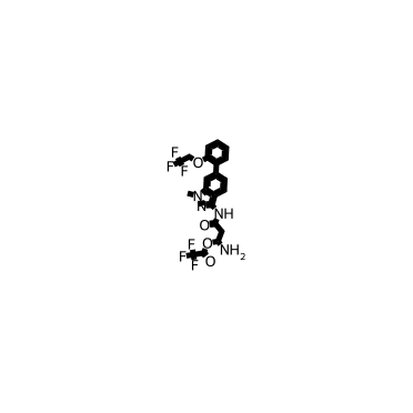 Cn1nc(NC(=O)CC(N)OC(=O)C(F)(F)F)c2ccc(-c3ccccc3OCC(F)(F)F)cc21